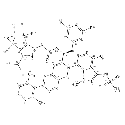 Cc1ncnc(C)c1-c1ccc2c(c1)N=C([C@H](Cc1cc(F)cc(F)c1)NC(=O)Cn1nc(C(F)F)c3c1C(F)(F)[C@@H]1C[C@H]31)N(c1ccc(Cl)c3c(NS(C)(=O)=O)nn(C)c13)C2